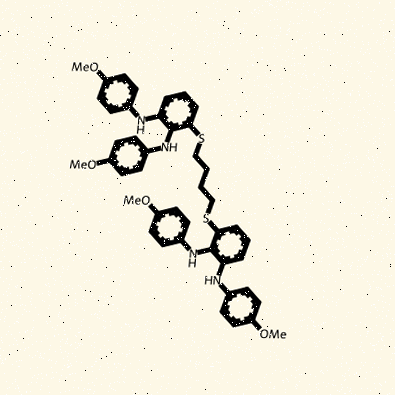 COc1ccc(Nc2cccc(SCCCCSc3cccc(Nc4ccc(OC)cc4)c3Nc3ccc(OC)cc3)c2Nc2ccc(OC)cc2)cc1